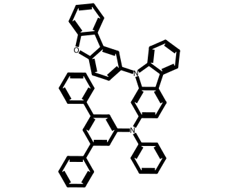 c1ccc(-c2cc(-c3ccccc3)cc(N(c3ccccc3)c3ccc4c5ccccc5n(-c5ccc6oc7ccccc7c6c5)c4c3)c2)cc1